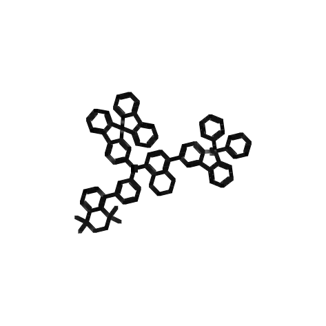 CC1(C)CCC(C)(C)c2c(-c3cccc(N(c4ccc5c(c4)C4(c6ccccc6-c6ccccc64)c4ccccc4-5)c4ccc(-c5ccc6c(c5)-c5ccccc5[Si]6(c5ccccc5)c5ccccc5)c5c4CCCC5)c3)cccc21